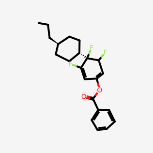 CCC[C@H]1CC[C@H](C2(F)C(F)=CC(OC(=O)c3ccccc3)=CC2F)CC1